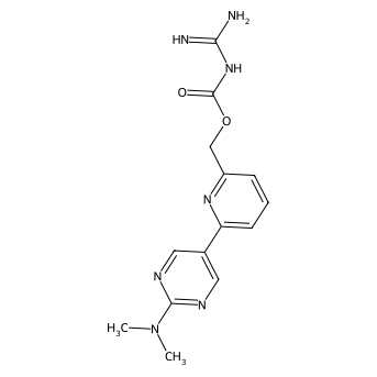 CN(C)c1ncc(-c2cccc(COC(=O)NC(=N)N)n2)cn1